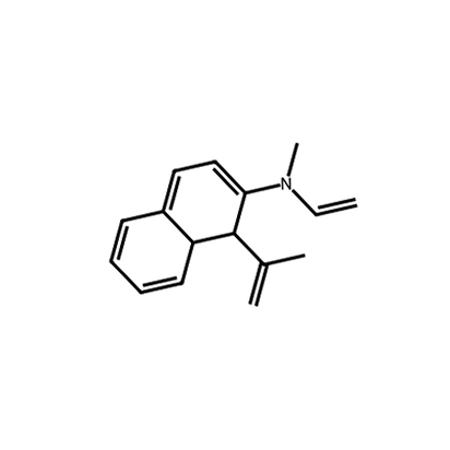 C=CN(C)C1=CC=C2C=CC=CC2C1C(=C)C